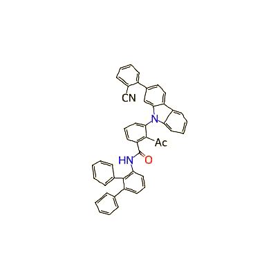 CC(=O)c1c(C(=O)Nc2cccc(-c3ccccc3)c2-c2ccccc2)cccc1-n1c2ccccc2c2ccc(-c3ccccc3C#N)cc21